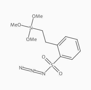 CO[Si](CCc1ccccc1S(=O)(=O)N=[N+]=[N-])(OC)OC